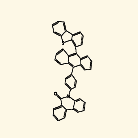 O=c1c2ccccc2c2ccccc2n1-c1ccc(-c2c3ccccc3c(-c3cccc4c3sc3ccccc34)c3ccccc23)cc1